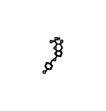 O=C(O)C1Oc2cc(OCc3ccc(Cl)cc3)ccc2CC1=O